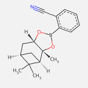 CC1(C)[C@H]2C[C@@H]3OB(c4ccccc4C#N)O[C@]3(C)[C@@H]1C2